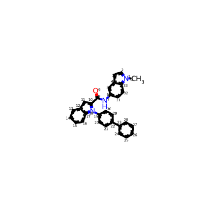 Cn1ccc2cc(NC(=O)c3cc4ccccc4n3-c3ccc(-c4ccccc4)cc3)ccc21